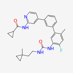 Cc1cc(F)c(NC(=O)NCCC2(C)CC2)cc1-c1cccc(-c2ccnc(NC(=O)C3CC3)c2)c1